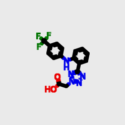 O=C(O)Cn1nnc(-c2ccccc2Nc2ccc(C(F)(F)F)cc2)n1